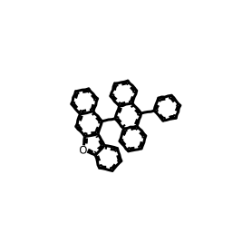 c1ccc(-c2c3ccccc3c(-c3c4ccccc4cc4oc5ccccc5c34)c3ccccc23)cc1